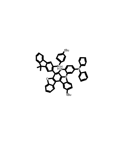 CC(C)(C)c1ccc(Nc2cc3c(cc2-c2c4c5c(c6cc(C(C)(C)C)ccc6n5-c5cc(N(c6ccccc6)c6ccccc6)ccc5B4)c4c2oc2ccccc24)C(C)(C)c2ccccc2-3)cc1